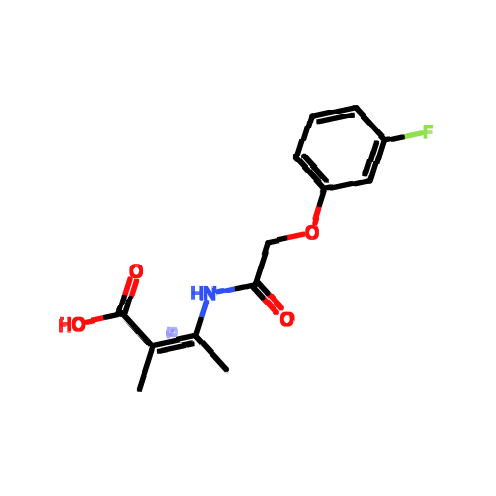 C/C(NC(=O)COc1cccc(F)c1)=C(\C)C(=O)O